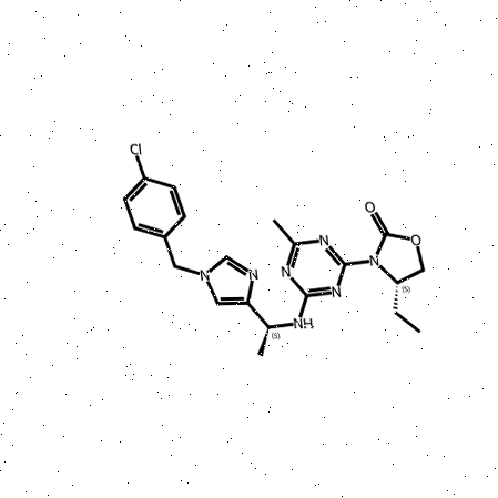 CC[C@H]1COC(=O)N1c1nc(C)nc(N[C@@H](C)c2cn(Cc3ccc(Cl)cc3)cn2)n1